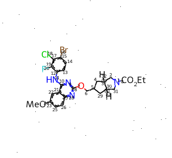 CCOC(=O)N1C[C@H]2CC(COc3nc(Nc4ccc(Br)c(Cl)c4F)c4cc(OC)ccc4n3)C[C@H]2C1